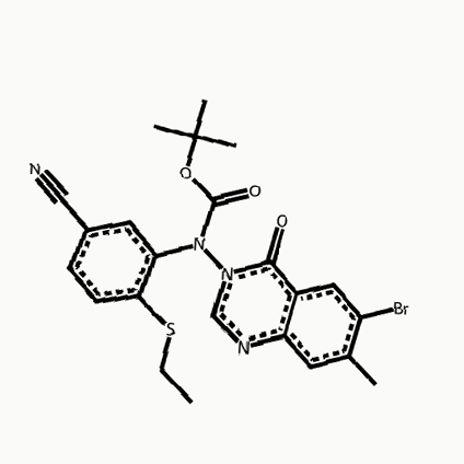 CCSc1ccc(C#N)cc1N(C(=O)OC(C)(C)C)n1cnc2cc(C)c(Br)cc2c1=O